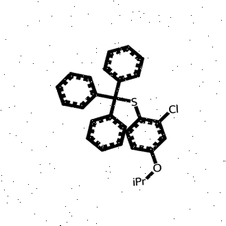 CC(C)Oc1ccc(SC(c2ccccc2)(c2ccccc2)c2ccccc2)c(Cl)c1